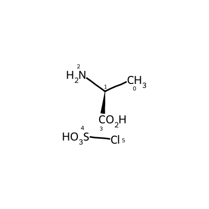 C[C@H](N)C(=O)O.O=S(=O)(O)Cl